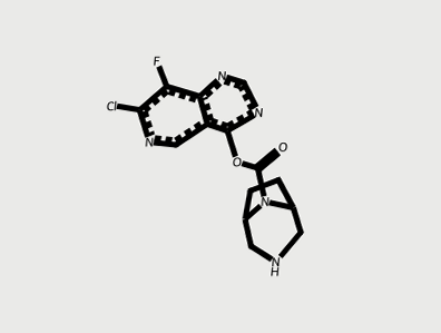 O=C(Oc1ncnc2c(F)c(Cl)ncc12)N1C2CCC1CNC2